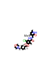 CSc1cc(C)[nH]c(=O)c1CNC(=O)c1cc(Cl)c2c(c1C)O[C@@](C)([C@H]1CC[C@H](CN3CCOCC3)CC1)O2